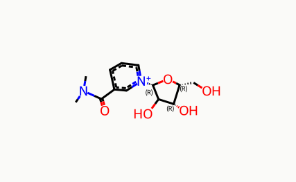 CN(C)C(=O)c1ccc[n+]([C@@H]2O[C@H](CO)[C@H](O)C2O)c1